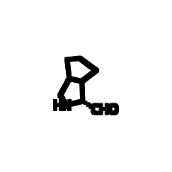 O=C[C@@H]1NCC2CCCC21